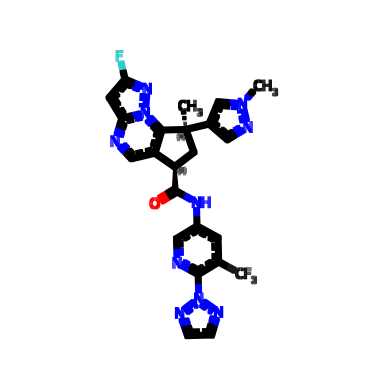 Cn1cc([C@@]2(C)C[C@@H](C(=O)Nc3cnc(-n4nccn4)c(C(F)(F)F)c3)c3cnc4cc(F)nn4c32)cn1